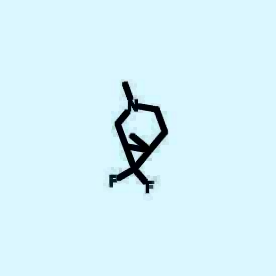 CN1CCC2(C)C(C1)C2(F)F